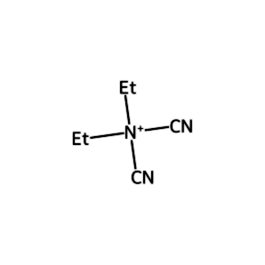 CC[N+](C#N)(C#N)CC